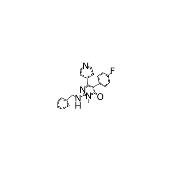 Cn1c(NCc2ccccc2)nc(-c2ccncc2)c(-c2ccc(F)cc2)c1=O